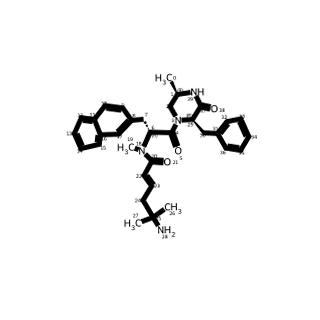 C[C@@H]1CN(C(=O)[C@@H](Cc2ccc3ccccc3c2)N(C)C(=O)C=CCC(C)(C)N)[C@H](Cc2ccccc2)C(=O)N1